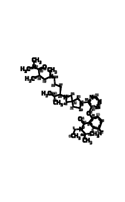 CCN(C(=O)c1cc(F)ccc1Oc1nncnc1N1CCC2(C1)CN([C@H](CCCN(C)C[C@@H](C)C(=O)N(C)C)C(C)C)C2)C(C)C